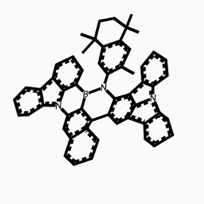 Cc1cc2c(cc1N1B3c4c(cc5ccccc5c4-c4cc5c6ccccc6n6c7ccccc7c(c41)c56)-n1c4ccccc4c4cccc3c41)C(C)(C)CCC2(C)C